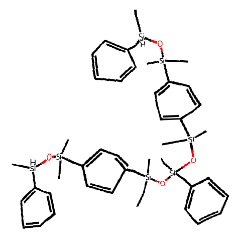 C[SiH](O[Si](C)(C)c1ccc([Si](C)(C)O[Si](C)(O[Si](C)(C)c2ccc([Si](C)(C)O[SiH](C)c3ccccc3)cc2)c2ccccc2)cc1)c1ccccc1